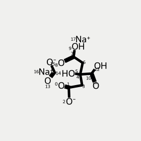 O=C([O-])CC(O)(CC(=O)O)C(=O)O.O=C[O-].[Na+].[Na+]